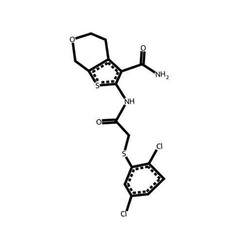 NC(=O)c1c(NC(=O)CSc2cc(Cl)ccc2Cl)sc2c1CCOC2